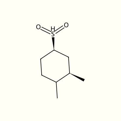 CC1CC[C@@H]([SH](=O)=O)C[C@H]1C